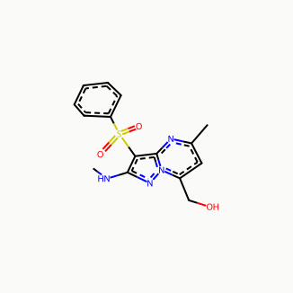 CNc1nn2c(CO)cc(C)nc2c1S(=O)(=O)c1ccccc1